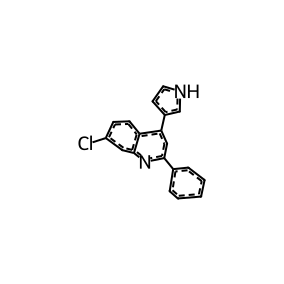 Clc1ccc2c(-c3cc[nH]c3)cc(-c3ccccc3)nc2c1